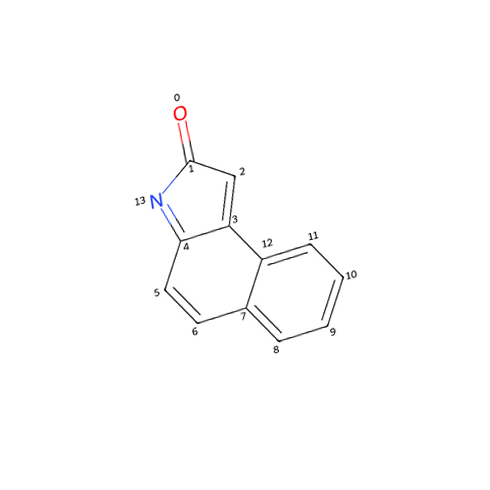 O=C1C=c2c(ccc3ccccc23)=N1